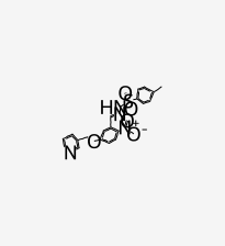 Cc1ccc(S(=O)(=O)NN=Cc2cc(OCc3cccnc3)ccc2[N+](=O)[O-])cc1